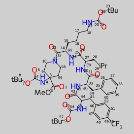 COC(=O)C1(NC(=O)OC(C)(C)C)CCN(C(=O)[C@@H](CCCCNC(=O)OC(C)(C)C)NC(=O)[C@@H](CC(C)C)NC(=O)[C@@H](Cc2ccccc2)NC(=O)C(Cc2ccc(C(F)(F)F)cc2)NC(=O)OC(C)(C)C)CC1